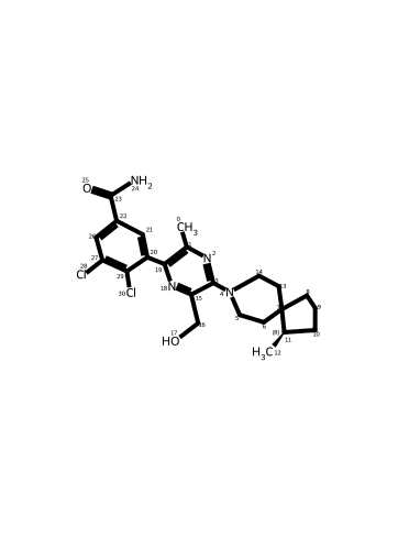 Cc1nc(N2CCC3(CCC[C@H]3C)CC2)c(CO)nc1-c1cc(C(N)=O)cc(Cl)c1Cl